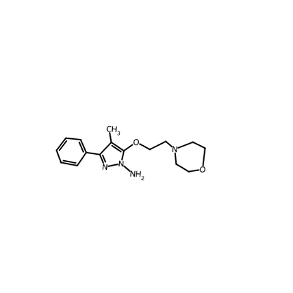 Cc1c(-c2ccccc2)nn(N)c1OCCN1CCOCC1